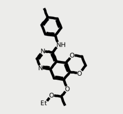 CCOC(C)Oc1cc2ncnc(Nc3ccc(C)cc3)c2c2c1OCCO2